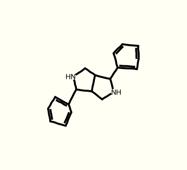 c1ccc(C2NCC3C(c4ccccc4)NCC23)cc1